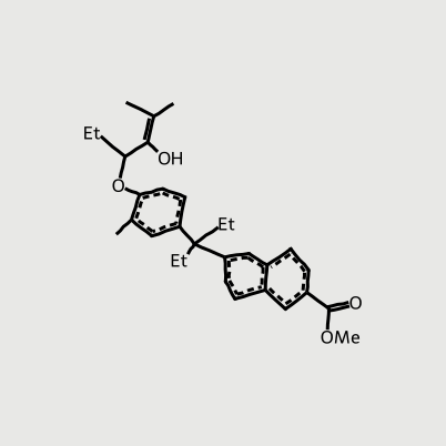 CCC(Oc1ccc(C(CC)(CC)c2ccc3cc(C(=O)OC)ccc3c2)cc1C)C(O)=C(C)C